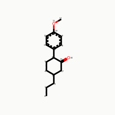 CCCC1CCC(c2ccc(OC)cc2)C(=O)C1